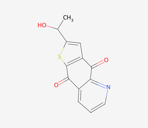 CC(O)c1cc2c(s1)C(=O)c1cccnc1C2=O